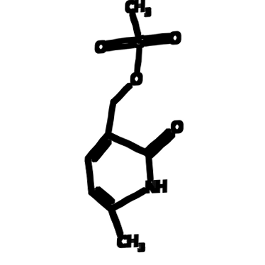 Cc1ccc(COS(C)(=O)=O)c(=O)[nH]1